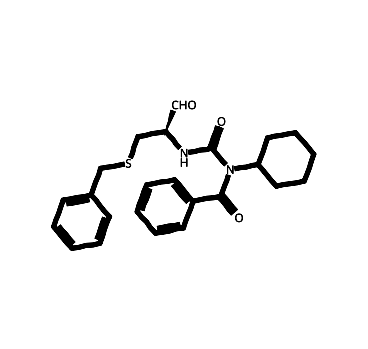 O=C[C@H](CSCc1ccccc1)NC(=O)N(C(=O)c1ccccc1)C1CCCCC1